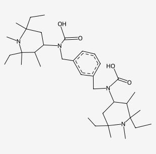 CCC1(C)CC(N(Cc2cccc(CN(C(=O)O)C3CC(C)(CC)N(C)C(C)(CC)C3C)c2)C(=O)O)C(C)C(C)(CC)N1C